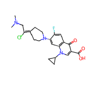 CN(C)CC(Cl)=C1CCN(c2cc3c(cc2F)c(=O)c(C(=O)O)cn3C2CC2)CC1